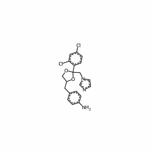 Nc1ccc(CC2COC(Cn3ccnc3)(c3ccc(Cl)cc3Cl)O2)cc1